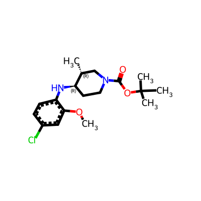 COc1cc(Cl)ccc1N[C@@H]1CCN(C(=O)OC(C)(C)C)C[C@H]1C